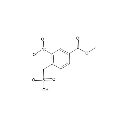 COC(=O)c1ccc(CS(=O)(=O)O)c([N+](=O)[O-])c1